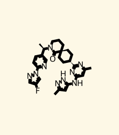 Cc1cc(Nc2cc(C)nc([C@H]3CC[C@@]4(CCCN([C@H](C)c5ccc(-n6cc(F)cn6)nc5)C4=O)CC3)n2)[nH]n1